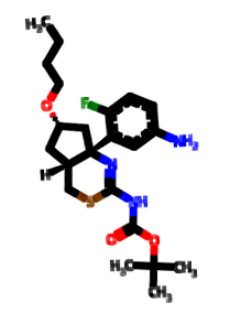 CCCCO[C@H]1C[C@H]2CSC(NC(=O)OC(C)(C)C)=N[C@@]2(c2cc(N)ccc2F)C1